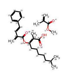 C=C(C)C(=O)OC.C=C(C=Cc1ccccc1)C(=O)OC(CCCCCC(C)C)=C(C)C(=O)O